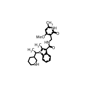 COc1cc(C)[nH]c(=O)c1CNC(=O)c1c(C)n(C(C)C2CCCNC2)c2ccccc12